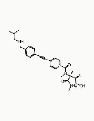 CNC(=O)[C@@](C)(C(=O)NO)N(C)C(=O)c1ccc(C#Cc2ccc(CNCC(C)C)cc2)cc1